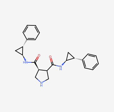 O=C(N[C@H]1C[C@@H]1c1ccccc1)C1CNC[C@H]1C(=O)N[C@H]1C[C@@H]1c1ccccc1